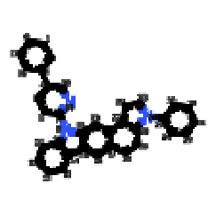 c1ccc(-c2ccc(-n3c4ccccc4c4cc5ccc6c(ccn6-c6ccccc6)c5cc43)nc2)cc1